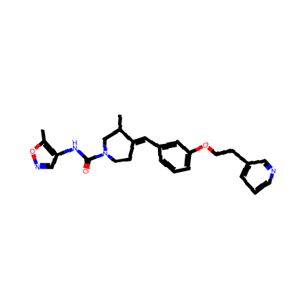 Cc1oncc1NC(=O)N1CCC(=Cc2cccc(OCCc3cccnc3)c2)C(C)C1